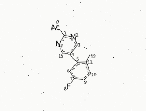 CC(=O)c1ncc(-c2cc(F)ccc2C)cn1